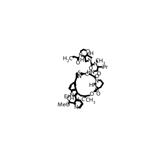 C=CC(=O)N1CCO[C@H]2CN(C(=O)N(C)C(C(=O)N[C@H]3Cc4nc(cs4)-c4ccc5c(c4)c(c(-c4cccnc4[C@H](C)OC)n5CC)CC(C)(C)COC(=O)[C@@H]4CCCN(N4)C3=O)C(C)C)C[C@@H]21